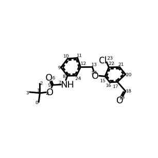 CC(C)(C)OC(=O)Nc1cccc(COc2cc(C=O)ccc2Cl)c1